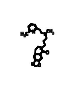 Cc1cccc(CCN(C)CCCN2CCc3cc4c(cc3C2=O)OCO4)n1